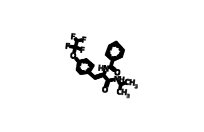 CC(C)NC(=O)/C(=C/c1ccc(OC(F)(F)C(F)F)cc1)NC(=O)c1ccccc1